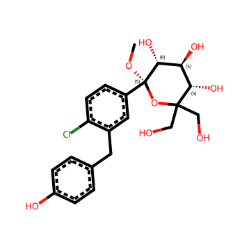 CO[C@@]1(c2ccc(Cl)c(Cc3ccc(O)cc3)c2)OC(CO)(CO)[C@@H](O)[C@H](O)[C@H]1O